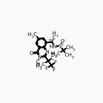 Cc1cc([C@@H](C)N[S+]([O-])C(C)(C)C)c2nc(C(C)(C)C(F)(F)F)n(C)c(=O)c2c1